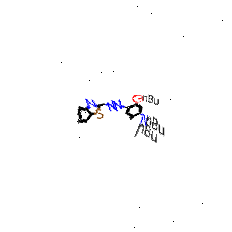 CCCCOc1cc(N(CCCC)CCCC)ccc1N=NCc1nc2ccccc2s1